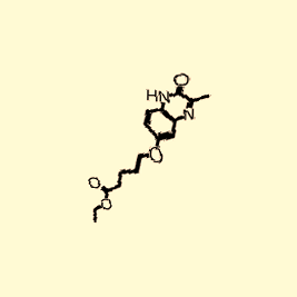 CCOC(=O)CCCCOc1ccc2[nH]c(=O)c(C)nc2c1